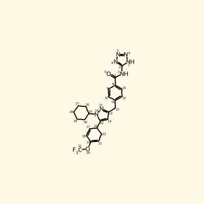 O=C(Nc1nnn[nH]1)c1ccc(Cc2cc(C3C=CC(OC(F)(F)F)=CC3)n(C3CCCCC3)n2)cc1